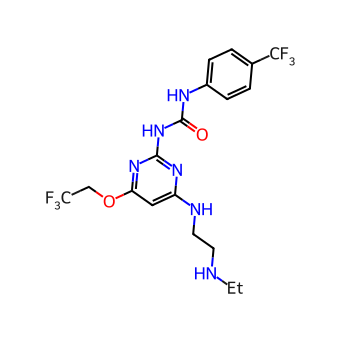 CCNCCNc1cc(OCC(F)(F)F)nc(NC(=O)Nc2ccc(C(F)(F)F)cc2)n1